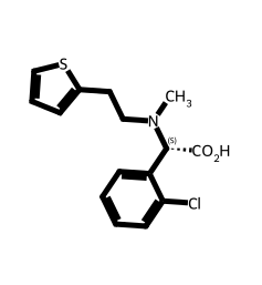 CN(CCc1cccs1)[C@H](C(=O)O)c1ccccc1Cl